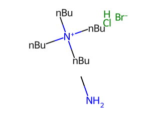 CCCC[N+](CCCC)(CCCC)CCCC.CN.Cl.[Br-]